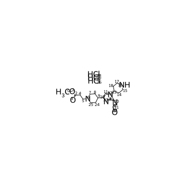 COC(=O)CCN1CCC(c2cn(C3CCNCC3)c(N=C=O)n2)CC1.Cl.Cl.Cl